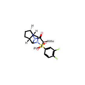 CN[C@@H](CC(C)C)C(=O)N1C2[C@@H]3CC[C@H]1[C@@H]3CN2S(=O)(=O)c1ccc(F)c(F)c1